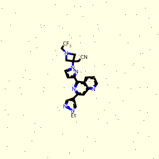 CCn1cc(-c2cc3ncccc3c(-c3ccn(C4(CC#N)CN(CC(F)(F)F)C4)n3)n2)cn1